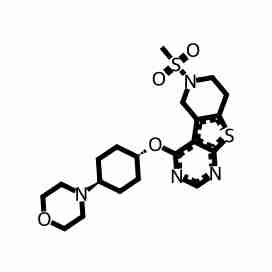 CS(=O)(=O)N1CCc2sc3ncnc(O[C@H]4CC[C@H](N5CCOCC5)CC4)c3c2C1